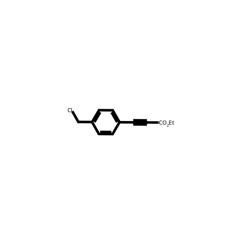 CCOC(=O)C#Cc1ccc(CCl)cc1